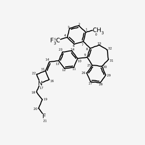 Cc1ccc(C(F)(F)F)cc1C1=C(c2ccc(C=C3CN(CCCF)C3)cc2)c2ccccc2CCC1